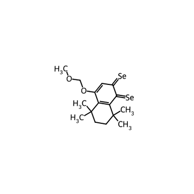 COCOC1=CC(=[Se])C(=[Se])C2=C1C(C)(C)CCC2(C)C